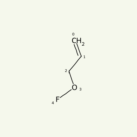 C=C[CH]OF